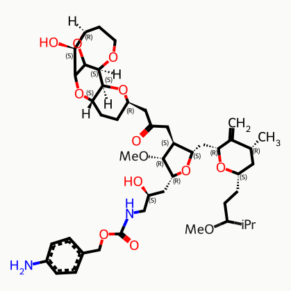 C=C1[C@H](C)C[C@H](CCC(OC)C(C)C)O[C@@H]1C[C@@H]1O[C@H](C[C@H](O)CNC(=O)OCc2ccc(N)cc2)[C@H](OC)[C@H]1CC(=O)C[C@H]1CC[C@@H]2OC3C4O[C@H](CCO[C@H]4[C@H]2O1)[C@@H]3O